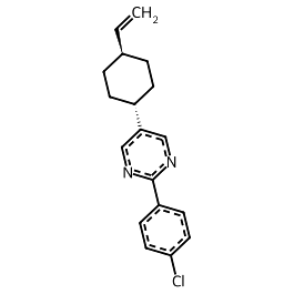 C=C[C@H]1CC[C@H](c2cnc(-c3ccc(Cl)cc3)nc2)CC1